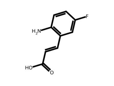 Nc1ccc(F)cc1C=CC(=O)O